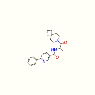 CC(NC(=O)c1ccc(-c2ccccc2)nc1)C(=O)N1CCC2(CCC2)CC1